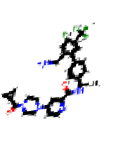 C[C@@H](NC(=O)c1cc(N2CCN(C(=O)C3CC3)CC2)ccn1)c1ccc(-c2cc(C(F)(F)F)c(F)cc2CN)cc1